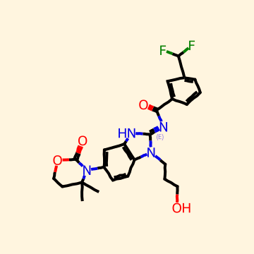 CC1(C)CCOC(=O)N1c1ccc2c(c1)[nH]/c(=N\C(=O)c1cccc(C(F)F)c1)n2CCCO